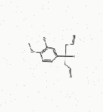 C=CCC(I)(CC=C)c1ccc(OC)c(Br)c1